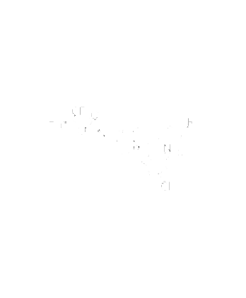 O=C(OC(C(F)(F)F)C(F)(F)F)N1CCC2(CCN(Cc3ccc(Cl)cc3N3CCC(F)CC3)CC2)C1